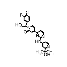 CC(C)(O)c1cc(Nc2nccc(-c3ccn(C(CO)c4ccc(Cl)c(F)c4)c(=O)c3)n2)ccn1